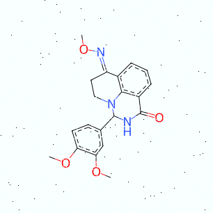 CON=C1CCN2c3c(cccc31)C(=O)NC2c1ccc(OC)c(OC)c1